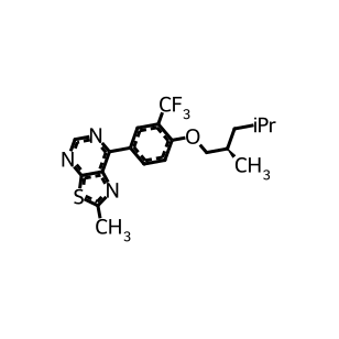 Cc1nc2c(-c3ccc(OC[C@H](C)CC(C)C)c(C(F)(F)F)c3)ncnc2s1